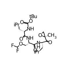 CC(C)C[C@H](NC(=O)OC(C)(C)C)C(=O)N[C@@H](COC(F)F)C(=O)N[C@@H](CC(C)C)C(=O)[C@]1(C)CO1